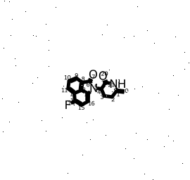 C=C1CCC(N2C(=O)c3cccc4c(F)ccc2c34)C(=O)N1